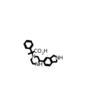 CC(C(=O)O)(c1ccccc1)N1CCNC(c2ccc3c(c2)CNC3)C1